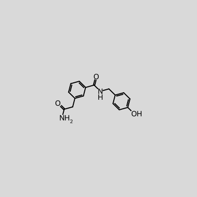 NC(=O)Cc1cccc(C(=O)NCc2ccc(O)cc2)c1